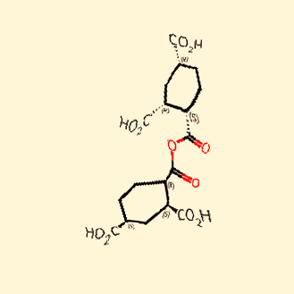 O=C(O)[C@@H]1CC[C@H](C(=O)OC(=O)[C@@H]2CC[C@H](C(=O)O)C[C@@H]2C(=O)O)[C@H](C(=O)O)C1